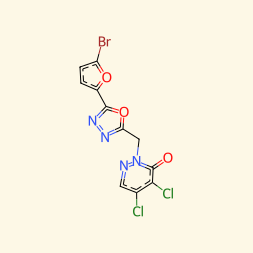 O=c1c(Cl)c(Cl)cnn1Cc1nnc(-c2ccc(Br)o2)o1